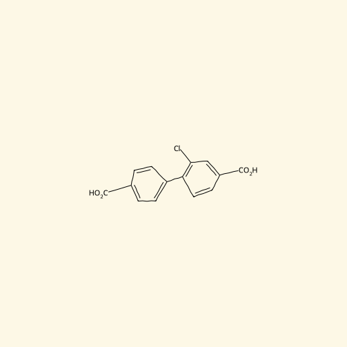 O=C(O)c1ccc(-c2ccc(C(=O)O)cc2Cl)cc1